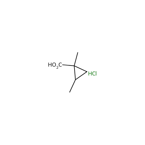 CC1CC1(C)C(=O)O.Cl